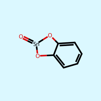 [O]=[Sn]1[O]c2ccccc2[O]1